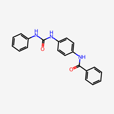 O=C(Nc1ccccc1)Nc1ccc(NC(=O)c2ccccc2)cc1